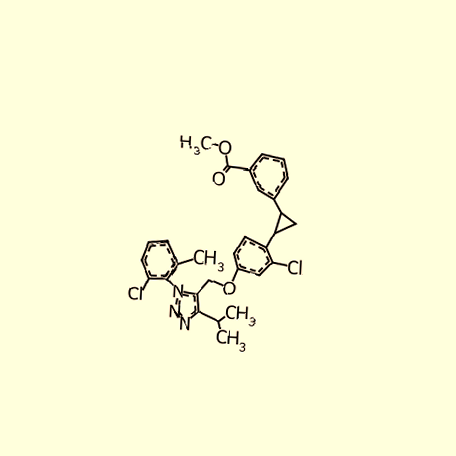 COC(=O)c1cccc(C2CC2c2ccc(OCc3c(C(C)C)nnn3-c3c(C)cccc3Cl)cc2Cl)c1